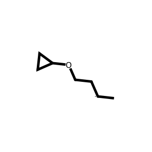 C[CH]CCOC1CC1